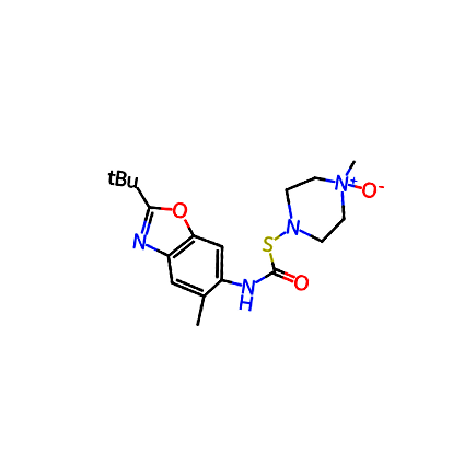 Cc1cc2nc(C(C)(C)C)oc2cc1NC(=O)SN1CC[N+](C)([O-])CC1